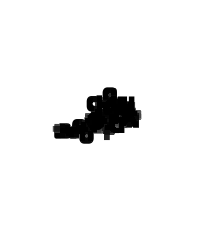 CC(C)(C)OC(=O)N1CCN(c2nc(-c3scnc3Cl)[nH]c(=O)c2Cl)[C@H](C(F)F)C1